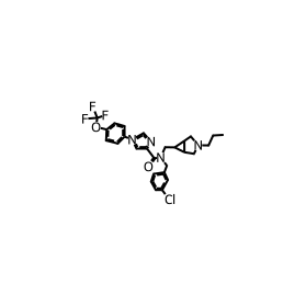 CCCN1CC2C(C1)C2CN(Cc1cccc(Cl)c1)C(=O)c1cn(-c2ccc(OC(F)(F)F)cc2)cn1